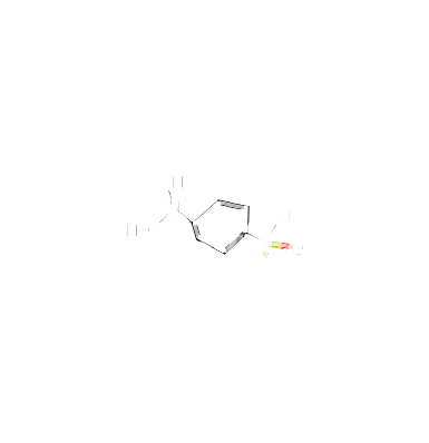 CN(C)c1ccc(S(=O)(=O)Cl)cc1